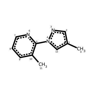 Cc1cnn(-c2ncccc2C)c1